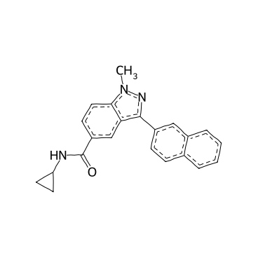 Cn1nc(-c2ccc3ccccc3c2)c2cc(C(=O)NC3CC3)ccc21